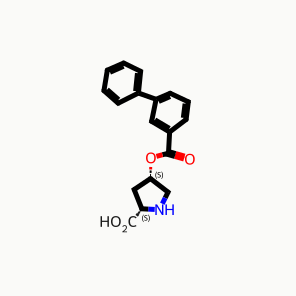 O=C(O[C@@H]1CN[C@H](C(=O)O)C1)c1cccc(-c2ccccc2)c1